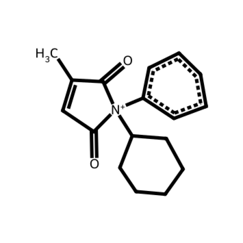 CC1=CC(=O)[N+](c2ccccc2)(C2CCCCC2)C1=O